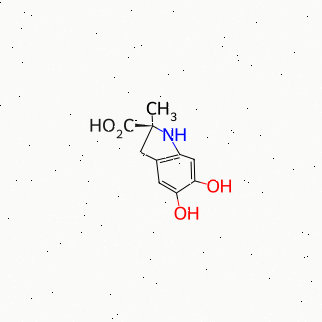 C[C@@]1(C(=O)O)Cc2cc(O)c(O)cc2N1